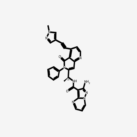 C[C@H](NC(=O)c1c(N)nn2cccnc12)c1cc2nccc(C#Cc3cnn(C)c3)c2c(=O)n1-c1ccccc1